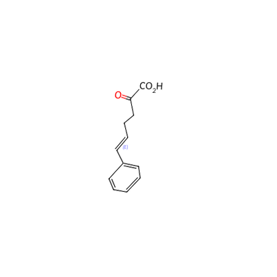 O=C(O)C(=O)CC/C=C/c1ccccc1